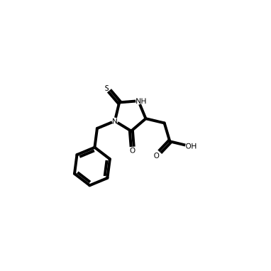 O=C(O)CC1NC(=S)N(Cc2ccccc2)C1=O